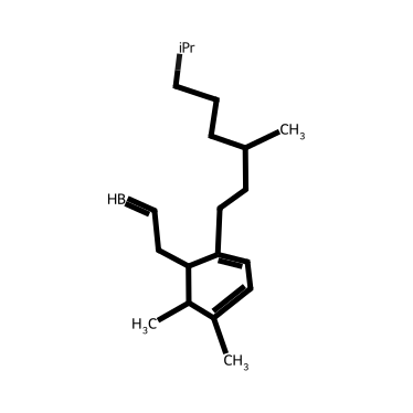 B=CCC1C(CCC(C)CCCC(C)C)=CC=C(C)C1C